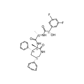 C[C@H](NC(=O)[C@@H](O)c1cc(F)cc(F)c1)C(=O)N[C@]1(C)C(=O)NC[C@H](c2ccccc2)C[C@@H]1c1ccccc1